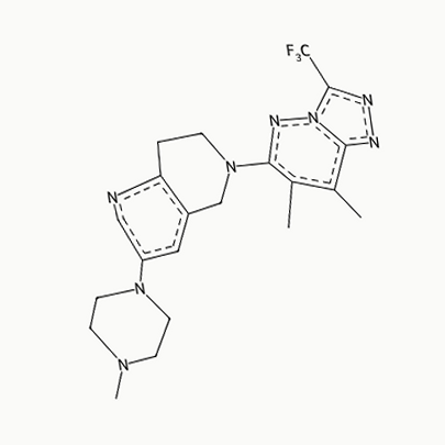 Cc1c(N2CCc3ncc(N4CCN(C)CC4)cc3C2)nn2c(C(F)(F)F)nnc2c1C